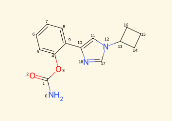 NC(=O)Oc1ccccc1-c1cn(C2CCC2)cn1